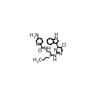 CCCC[C@H](CCNC(=O)c1ccc(N)cn1)Nc1ncc(Cl)c(-c2c[nH]c3ccccc23)n1